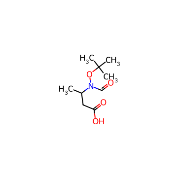 CC(CC(=O)O)N(C=O)OC(C)(C)C